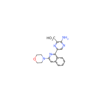 Nc1ncc(-c2nc(N3CCOCC3)cc3ccccc23)nc1C(=O)O